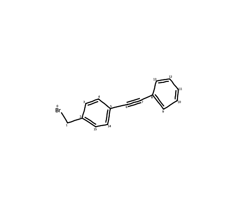 BrCc1ccc(C#Cc2cc[c]cc2)cc1